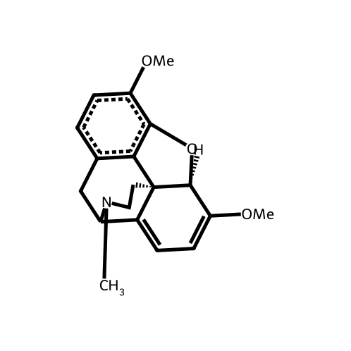 COC1=CC=C2C3Cc4ccc(OC)c5c4[C@@]2(CCN3C)[C@H]1O5